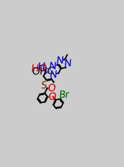 CC(=C(CCO)SC(=O)c1ccccc1Oc1ccccc1Br)N(C=O)Cc1cnc(C)nc1N